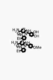 CCc1ccccc1Nc1c(C(N)=O)cnc2[nH]c(-c3ccc(O)c(O)c3)nc12.CCc1ccccc1Nc1c(C(N)=O)cnc2[nH]c(-c3ccc(OC)cc3)nc12